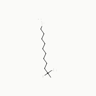 CCC(C)(CCCCCCCCCP=O)C(C)C